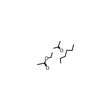 CC(C)=O.CCCCCC.CCOC(C)=O